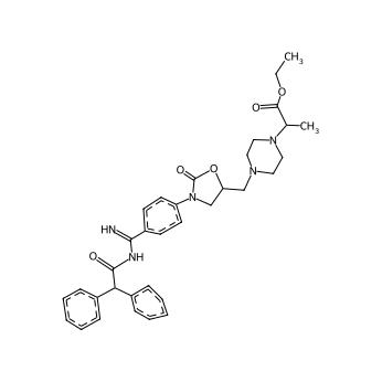 CCOC(=O)C(C)N1CCN(CC2CN(c3ccc(C(=N)NC(=O)C(c4ccccc4)c4ccccc4)cc3)C(=O)O2)CC1